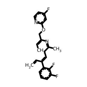 C=C/C(=C\C/C(C)=N\C(=C/C)COc1cc(F)ccn1)c1cccc(F)c1F